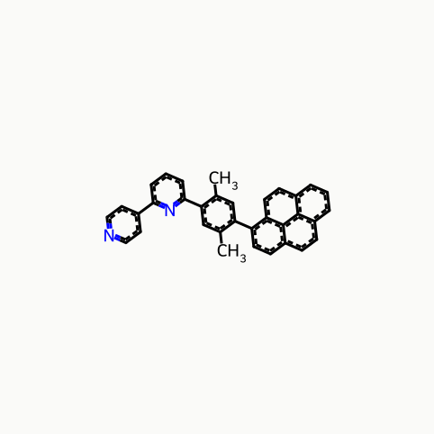 Cc1cc(-c2ccc3ccc4cccc5ccc2c3c45)c(C)cc1-c1cccc(-c2ccncc2)n1